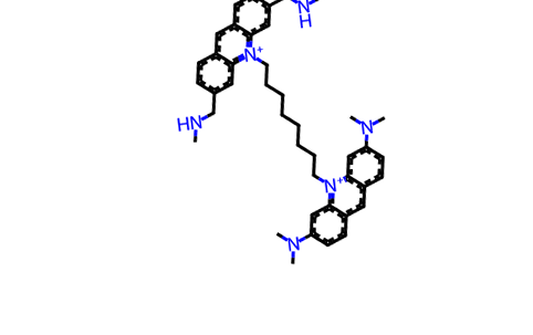 CNCc1ccc2cc3ccc(CNC)cc3[n+](CCCCCCCC[n+]3c4cc(N(C)C)ccc4cc4ccc(N(C)C)cc43)c2c1